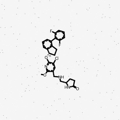 COc1nc(O[C@H]2CCc3c(-c4c(F)cccc4F)cccc32)c(Cl)cc1CNCC1CCC(=O)N1